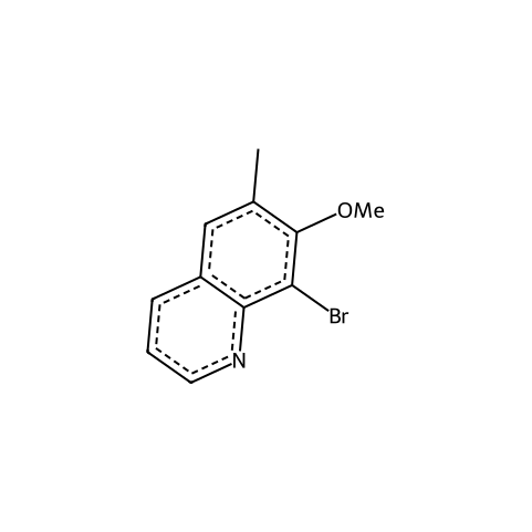 COc1c(C)cc2cccnc2c1Br